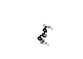 CS(=O)(=O)c1cccc(Cc2ccnc(-c3ccc(C(N)=O)cc3)c2)c1